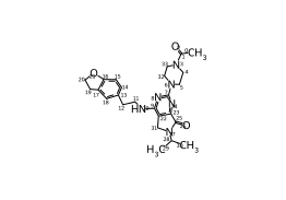 CC(=O)N1CCN(c2nc(NCCc3ccc4c(c3)CCO4)c3c(n2)C(=O)N(C(C)C)C3)CC1